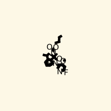 CCCCOC(=O)N1CC(C(=O)Nc2cnc(F)cc2OC)(c2ccccc2C(C)C)C1